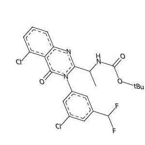 CC(NC(=O)OC(C)(C)C)c1nc2cccc(Cl)c2c(=O)n1-c1cc(Cl)cc(C(F)F)c1